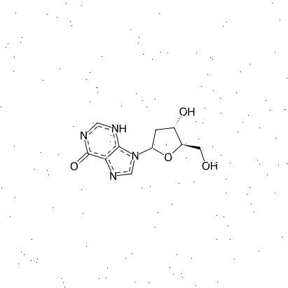 O=c1nc[nH]c2c1ncn2C1C[C@H](O)[C@@H](CO)O1